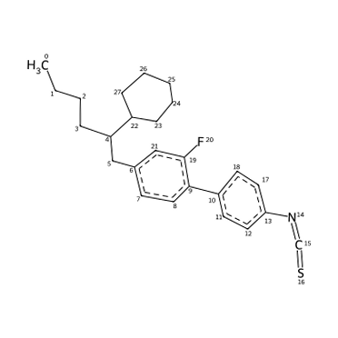 CCCCC(Cc1ccc(-c2ccc(N=C=S)cc2)c(F)c1)C1CCCCC1